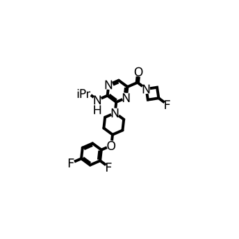 CC(C)Nc1ncc(C(=O)N2CC(F)C2)nc1N1CCC(Oc2ccc(F)cc2F)CC1